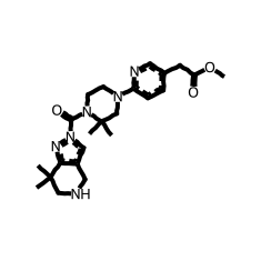 COC(=O)Cc1ccc(N2CCN(C(=O)n3cc4c(n3)C(C)(C)CNC4)C(C)(C)C2)nc1